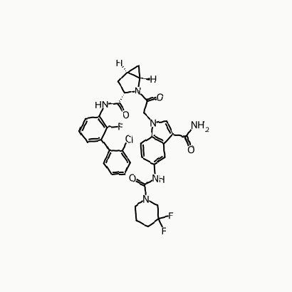 NC(=O)c1cn(CC(=O)N2[C@H](C(=O)Nc3cccc(-c4ccccc4Cl)c3F)C[C@H]3C[C@@H]32)c2ccc(NC(=O)N3CCCC(F)(F)C3)cc12